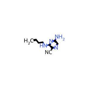 C=CCCNc1nc(N)cnc1C#N